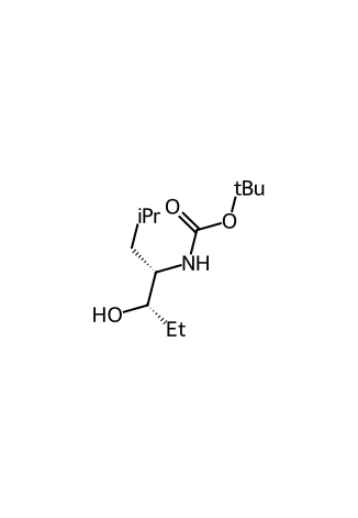 CC[C@H](O)[C@H](CC(C)C)NC(=O)OC(C)(C)C